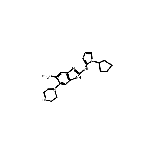 O=C(O)c1cc2nc(Nc3nccn3C3CCCC3)[nH]c2cc1N1CCNCC1